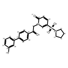 O=C(Cn1cc(S(=O)(=O)N2CCCC2)ccc1=O)c1ccc(-c2cccc(F)c2)cc1